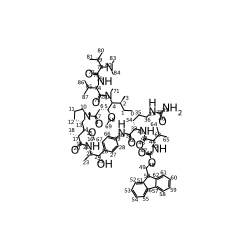 CC[C@H](C)C([C@@H](CC(=O)N1CCC[C@H]1[C@H](OC)[C@@H](C)C(=O)N[C@H](C)[C@@H](O)c1ccc(NC(=O)[C@H](CCCNC(N)=O)NC(=O)[C@@H](NC(=O)OCC2c3ccccc3-c3ccccc32)C(C)C)cc1)OC)N(C)C(=O)C(NC(=O)C(C(C)C)N(C)C)C(C)C